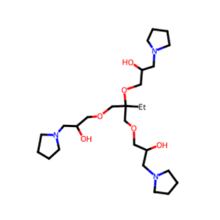 CCC(COCC(O)CN1CCCC1)(COCC(O)CN1CCCC1)OCC(O)CN1CCCC1